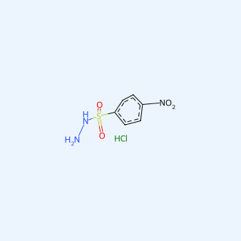 Cl.NNS(=O)(=O)c1ccc([N+](=O)[O-])cc1